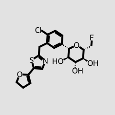 O[C@@H]1[C@@H](O)[C@H](c2ccc(Cl)c(Cc3ncc(C4=CCCO4)s3)c2)O[C@H](CF)[C@H]1O